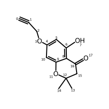 C#CCOc1cc(O)c2c(c1)OC(C)(C)CC2=O